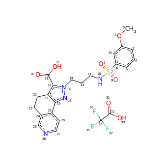 COc1cccc(S(=O)(=O)NCCCn2nc3c(c2C(=O)O)CCc2cnccc2-3)c1.O=C(O)C(F)(F)F